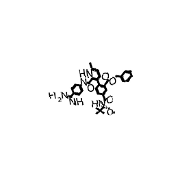 COC[C@@H](NC(=O)c1ccc(-c2ccc(C)nc2C(=O)Nc2ccc(C(=N)N)cc2)c(C(=O)OCc2ccccc2)c1)C(C)(C)C